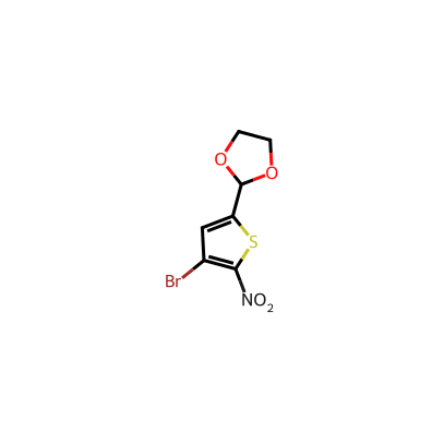 O=[N+]([O-])c1sc(C2OCCO2)cc1Br